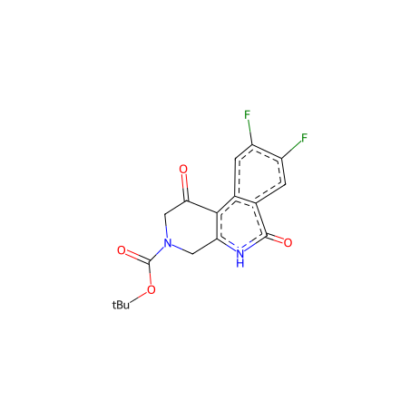 CC(C)(C)OC(=O)N1CC(=O)c2c([nH]c(=O)c3cc(F)c(F)cc23)C1